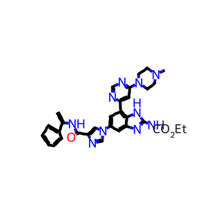 C=C(NC(=O)c1cn(-c2cc(-c3cc(N4CCN(C)CC4)ncn3)c3[nH]c(NC(=O)OCC)nc3c2)cn1)c1ccccc1